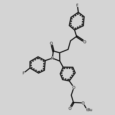 CC(C)(C)OC(=O)COc1ccc(C2C(CCC(=O)c3ccc(F)cc3)C(=O)N2c2ccc(F)cc2)cc1